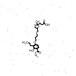 CCCc1c(OCCCSCC2CSC(C)(CCC(=O)O)S2)ccc(C(C)=O)c1O